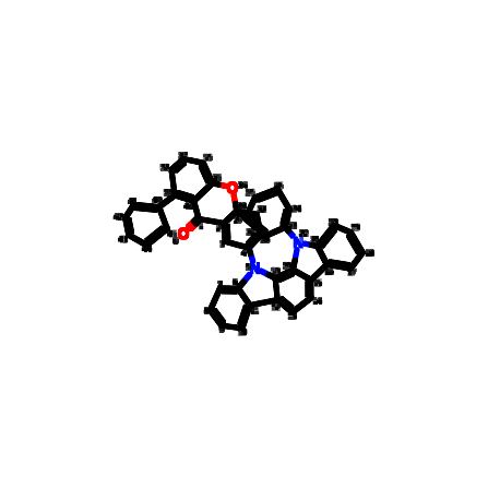 O=c1c2cc(-n3c4ccccc4c4ccc5c6ccccc6n(-c6ccccc6)c5c43)ccc2oc2cccc(-c3ccccc3)c12